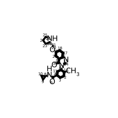 Cc1ccc(C(=O)NC2CC2)cc1-n1cnc2ccc(OC[C@@H]3CCCN3)cc2c1=O